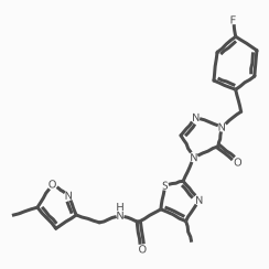 Cc1cc(CNC(=O)c2sc(-n3cnn(Cc4ccc(F)cc4)c3=O)nc2C)no1